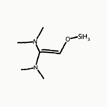 CN(C)C(=CO[SiH3])N(C)C